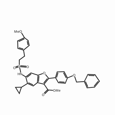 COC(=O)c1c(-c2ccc(OCc3ccccc3)cc2)oc2cc(NS(=O)(=O)CCc3ccc(OC)cc3)c(C3CC3)cc12